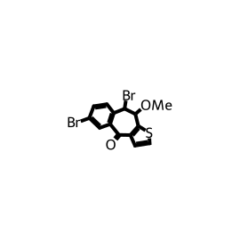 COC1c2sccc2C(=O)c2cc(Br)ccc2C1Br